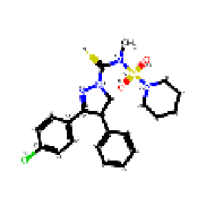 CN(C(=S)N1CC(c2ccccc2)C(c2ccc(Cl)cc2)=N1)S(=O)(=O)N1CCCCC1